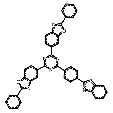 c1ccc(-c2nc3cc(-c4nc(-c5ccc(-c6nc7ccccc7s6)cc5)nc(-c5ccc6nc(-c7ccccc7)oc6c5)n4)ccc3o2)cc1